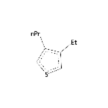 CCCc1cscc1CC